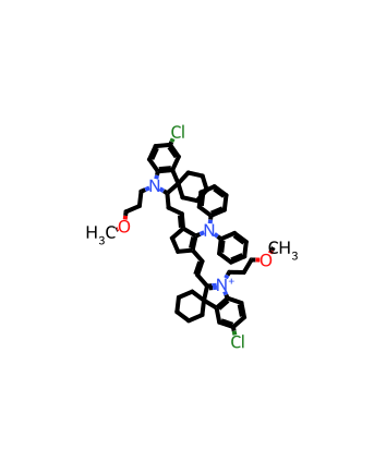 COCCCN1c2ccc(Cl)cc2C2(CCCCC2)C1C/C=C1\CCC(/C=C/C2=[N+](CCCOC)c3ccc(Cl)cc3C23CCCCC3)=C1N(c1ccccc1)c1ccccc1